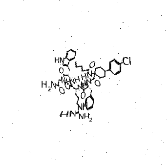 CCCCC(=O)N[C@]1(C(=O)N[C@H](Cc2ccccc2)C(=O)N[C@@H](CCCNC(=N)N)C(=O)N[C@@H](Cc2c[nH]c3ccccc23)C(=O)NCC(N)=O)CC[C@H](c2ccc(Cl)cc2)CC1